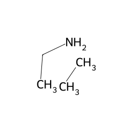 CC.CCN